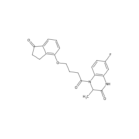 CC1C(=O)Nc2cc(F)ccc2N1C(=O)CCCOc1cccc2c1CCC2=O